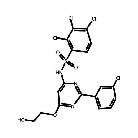 O=S(=O)(Nc1cc(OCCO)nc(-c2cccc(Cl)c2)n1)c1ccc(Cl)c(Cl)c1Cl